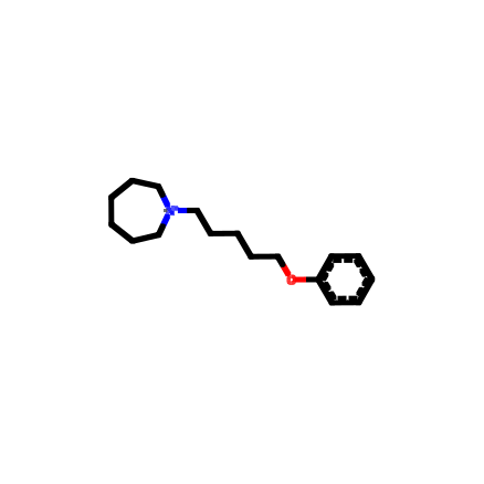 c1ccc(OCCCCC[N+]2CCCCCC2)cc1